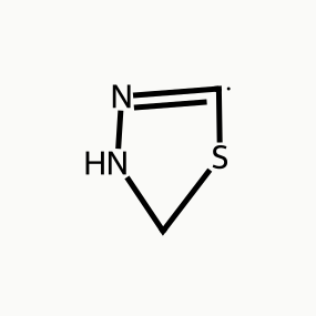 [C]1=NNCS1